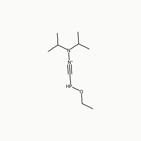 CCOPC#[N+]N(C(C)C)C(C)C